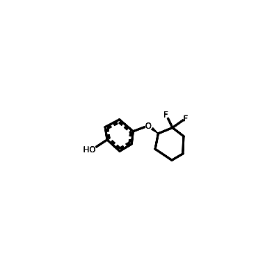 Oc1ccc(O[C@@H]2CCCCC2(F)F)cc1